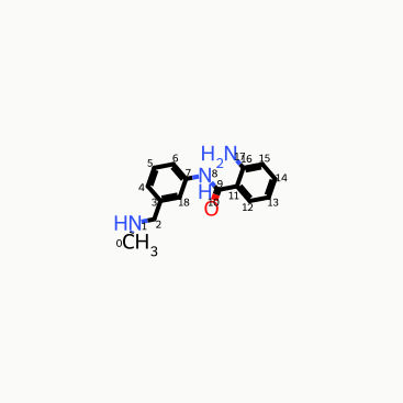 CNCc1cccc(NC(=O)c2ccccc2N)c1